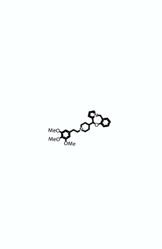 COc1cc(CCN2CCC(C3Oc4ccccc4Cn4cccc43)CC2)cc(OC)c1OC